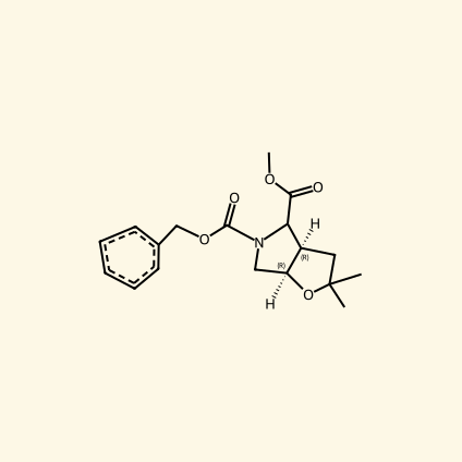 COC(=O)C1[C@H]2CC(C)(C)O[C@H]2CN1C(=O)OCc1ccccc1